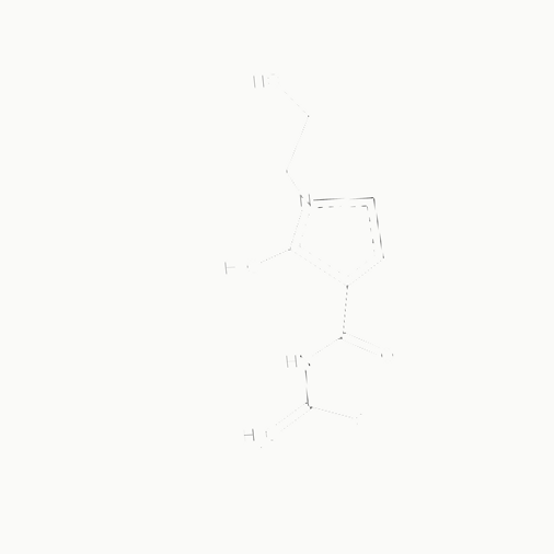 C=C(Cl)NC(=O)c1ccn(CCO)c1C